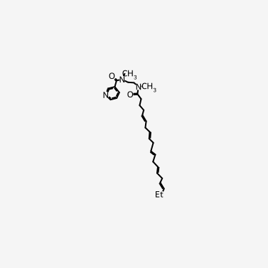 CCC=CCC=CCC=CCC=CCC=CCCCC(=O)N(C)CCN(C)C(=O)c1cccnc1